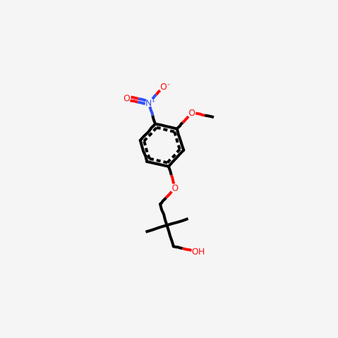 COc1cc(OCC(C)(C)CO)ccc1[N+](=O)[O-]